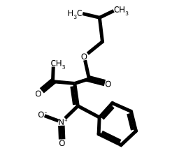 CC(=O)C(C(=O)OCC(C)C)=C(c1ccccc1)[N+](=O)[O-]